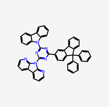 c1ccc(C2(c3ccccc3)c3ccccc3-c3cc(-c4nc(-n5c6ccccc6c6ccccc65)nc(-n5c6ncccc6c6cccnc65)n4)ccc32)cc1